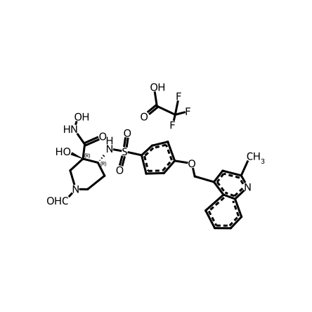 Cc1cc(COc2ccc(S(=O)(=O)N[C@@H]3CCN(C=O)C[C@]3(O)C(=O)NO)cc2)c2ccccc2n1.O=C(O)C(F)(F)F